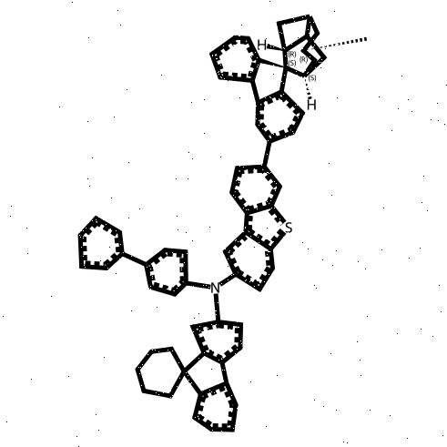 C[C@@H]1CC2C[C@@H]3C2C[C@H](C1)[C@@]31c2ccccc2-c2cc(-c3ccc4c(c3)sc3ccc(N(c5ccc(-c6ccccc6)cc5)c5ccc6c(c5)C5(CCCCC5)c5ccccc5-6)cc34)ccc21